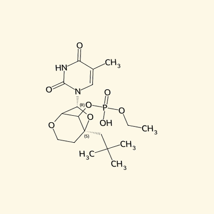 CCOP(=O)(O)OC1C2OCC[C@]1(CC(C)(C)C)O[C@H]2n1cc(C)c(=O)[nH]c1=O